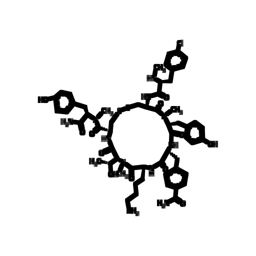 CN[C@@H](Cc1ccc(Cl)cc1)C(=O)N[C@@H]1CSSC[C@@H](C(=O)N(C)[C@H](Cc2ccc(O)cc2)C(N)=O)NC(=O)[C@H]([C@@H](C)O)N(C)C(=O)[C@H](CCCCN)NC(=O)[C@@H](Cc2ccc(C(N)=O)cc2)NC(=O)[C@H](Cc2ccc(O)cc2)N(C)C1=O